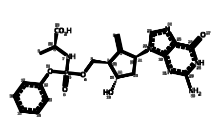 C=C1[C@H](COP(=O)(N[C@@H](C)C(=O)O)Oc2ccccc2)[C@@H](O)C[C@@H]1n1cnc2c(=O)[nH]c(N)nc21